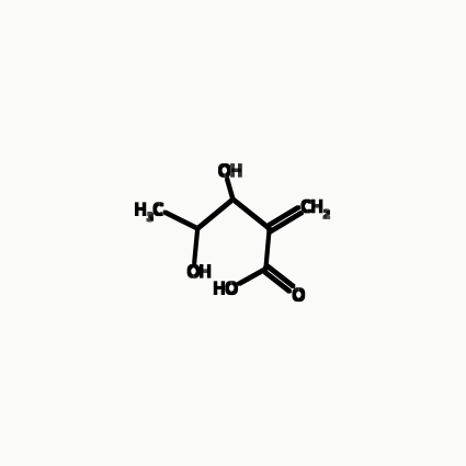 C=C(C(=O)O)C(O)C(C)O